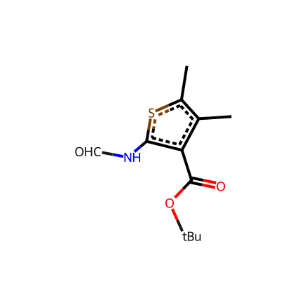 Cc1sc(NC=O)c(C(=O)OC(C)(C)C)c1C